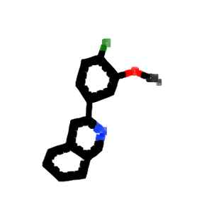 COc1cc(-c2cc3ccccc3cn2)ccc1Cl